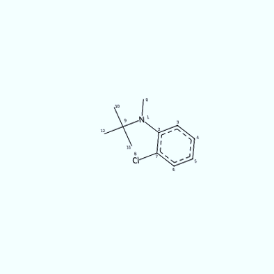 CN(c1ccccc1Cl)C(C)(C)C